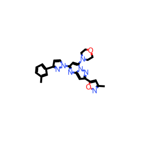 Cc1cccc(-c2ccn(-c3cc(N4CCOCC4)n4nc(-c5cc(C)no5)cc4n3)n2)c1